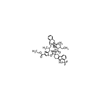 CCOC(=O)c1csc([C@@H](NC(=O)C2(NC(=O)[C@@H](NC(=S)NCc3ccccc3F)[C@@H](C)CC)CCc3[nH]c4c(C(F)(F)F)cccc4c3C2)[C@@H](C)CC)n1